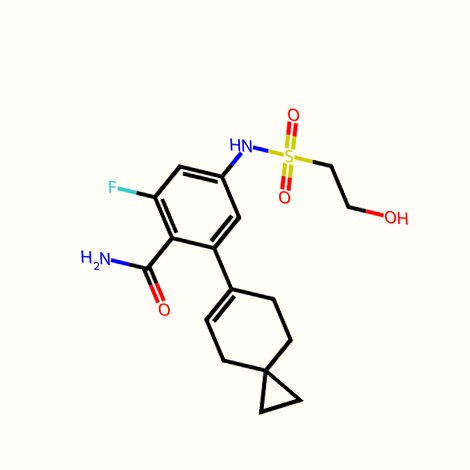 NC(=O)c1c(F)cc(NS(=O)(=O)CCO)cc1C1=CCC2(CC1)CC2